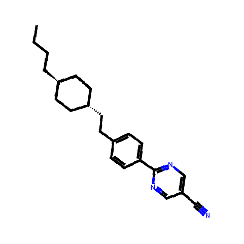 CCCC[C@H]1CC[C@H](CCc2ccc(-c3ncc(C#N)cn3)cc2)CC1